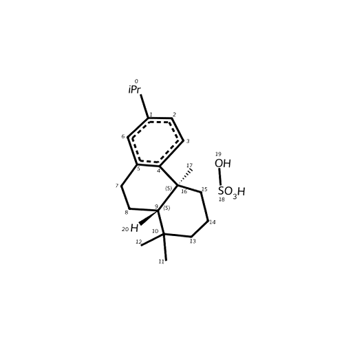 CC(C)c1ccc2c(c1)CC[C@H]1C(C)(C)CCC[C@]21C.O=S(=O)(O)O